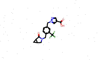 O=C(O)c1cnn(Cc2ccc(CN3CC4CC4C3=O)c(C(F)(F)F)c2)c1